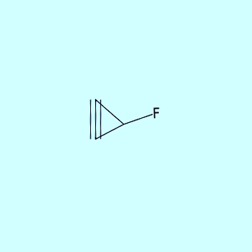 FC1C#C1